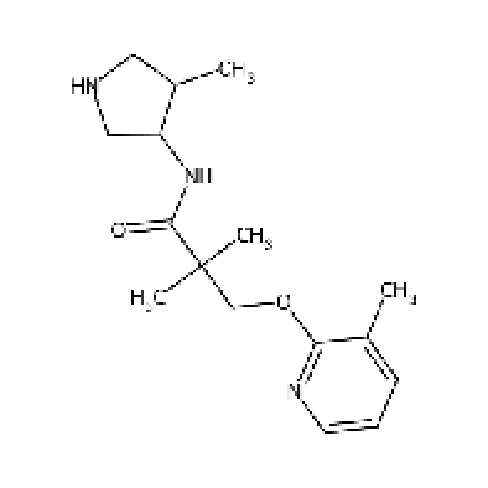 Cc1cccnc1OCC(C)(C)C(=O)NC1CNCC1C